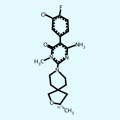 C[C@H]1CC2(CCN(c3nc(N)c(-c4ccc(F)c(Cl)c4)c(=O)n3C)CC2)CO1